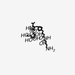 CC(C)c1[nH]nc(O[C@@H]2O[C@H](CO)[C@H](O)[C@H](O)[C@H]2O)c1Cc1ccc(CCCC(=O)N[C@@H](CO)CCCCN)cc1